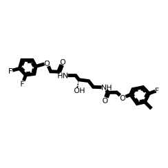 Cc1cc(OCC(=O)NCC[C@H](O)CNC(=O)COc2ccc(F)c(F)c2)ccc1F